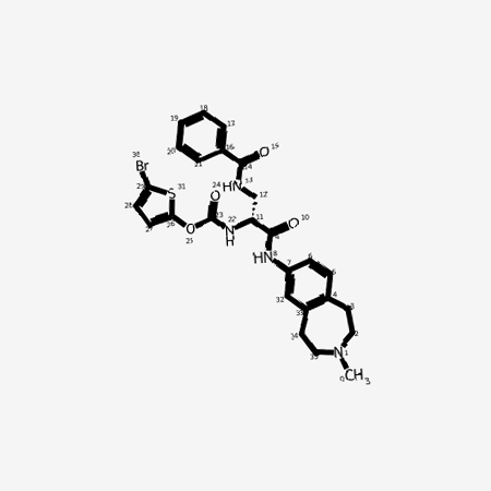 CN1CCc2ccc(NC(=O)[C@@H](CNC(=O)c3ccccc3)NC(=O)Oc3ccc(Br)s3)cc2CC1